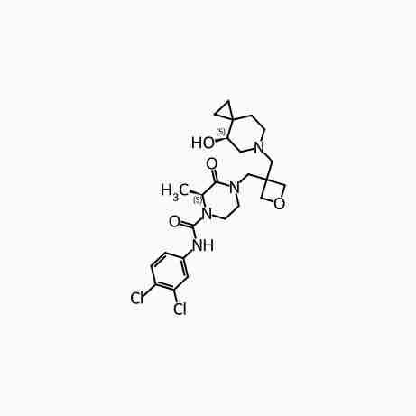 C[C@H]1C(=O)N(CC2(CN3CCC4(CC4)[C@H](O)C3)COC2)CCN1C(=O)Nc1ccc(Cl)c(Cl)c1